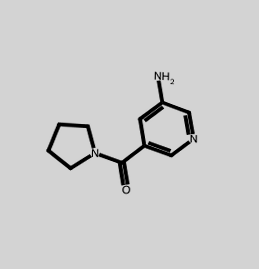 Nc1cncc(C(=O)N2CCCC2)c1